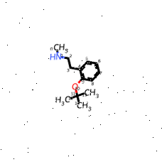 CNCCc1ccccc1OC(C)(C)C